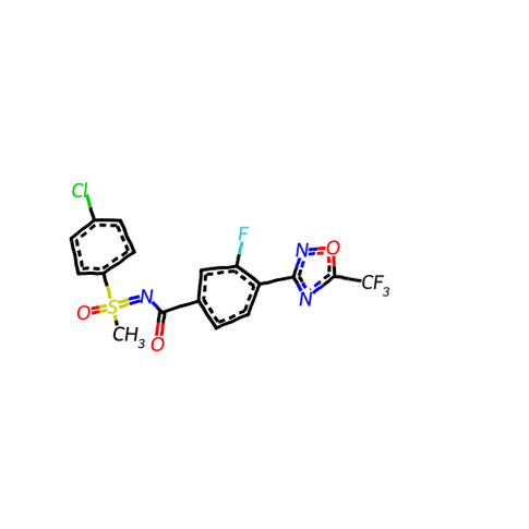 CS(=O)(=NC(=O)c1ccc(-c2noc(C(F)(F)F)n2)c(F)c1)c1ccc(Cl)cc1